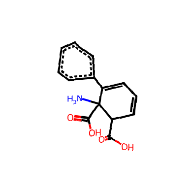 NC1(C(=O)O)C(c2ccccc2)=CC=CC1C(=O)O